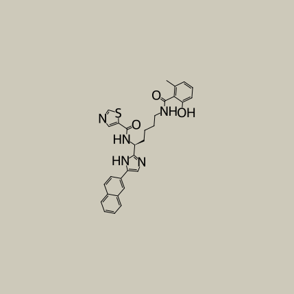 Cc1cccc(O)c1C(=O)NCCCC[C@H](NC(=O)c1cncs1)c1ncc(-c2ccc3ccccc3c2)[nH]1